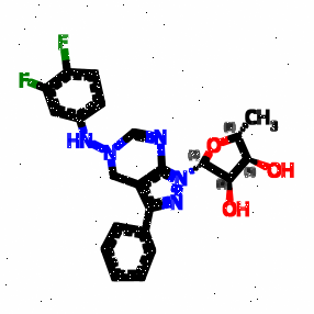 C[C@H]1O[C@@H](n2nc(-c3ccccc3)c3c2N=CN(Nc2ccc(F)c(F)c2)C3)[C@H](O)[C@@H]1O